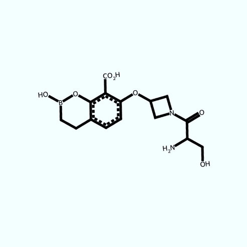 NC(CO)C(=O)N1CC(Oc2ccc3c(c2C(=O)O)OB(O)CC3)C1